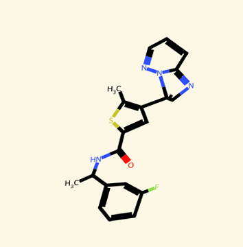 Cc1sc(C(=O)NC(C)c2cccc(F)c2)cc1-c1cnc2cccnn12